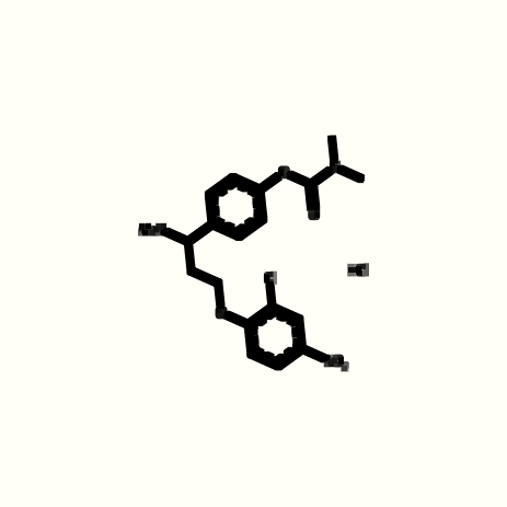 CNC(CCOc1ccc([N+](=O)[O-])cc1Cl)c1ccc(OC(=O)N(C)C)cc1.Cl